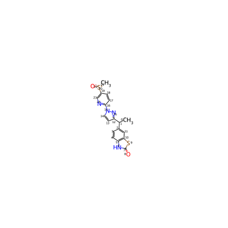 CC(c1ccc2[nH]c(=O)sc2c1)c1ccn(-c2ccc([S+](C)[O-])cn2)n1